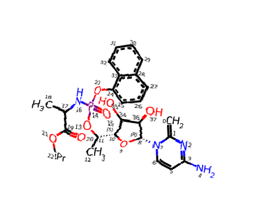 C=C1N=C(N)C=CN1[C@@H]1O[C@H](C(C)OP(=O)(NC(C)C(=O)OC(C)C)Oc2cccc3ccccc23)C(O)C1O